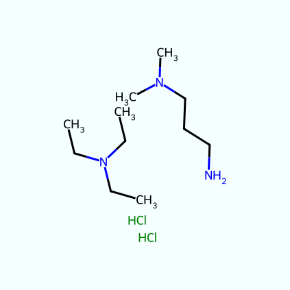 CCN(CC)CC.CN(C)CCCN.Cl.Cl